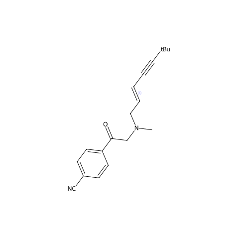 CN(C/C=C/C#CC(C)(C)C)CC(=O)c1ccc(C#N)cc1